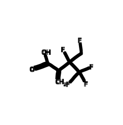 C=C(C(=O)O)C(F)(CF)C(F)(F)F